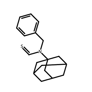 S=[C]N(Cc1ccccc1)C12CC3CC(CC(C3)C1)C2